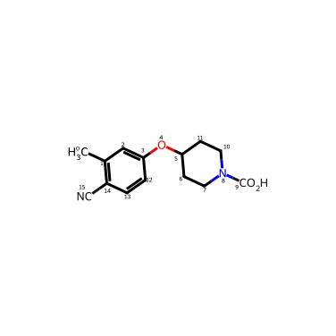 Cc1cc(OC2CCN(C(=O)O)CC2)ccc1C#N